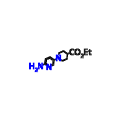 CCOC(=O)C1CCN(c2ccc(N)nc2)CC1